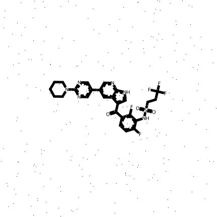 O=C(c1ccc(F)c(NS(=O)(=O)CCC(F)(F)F)c1F)c1c[nH]c2ncc(-c3cnc(N4CCCCC4)nc3)cc12